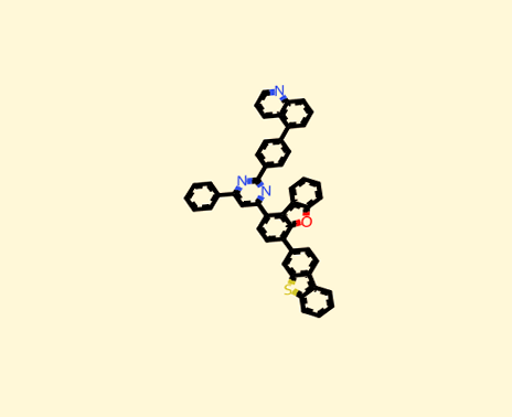 c1ccc(-c2cc(-c3ccc(-c4ccc5c(c4)sc4ccccc45)c4oc5ccccc5c34)nc(-c3ccc(-c4cccc5ncccc45)cc3)n2)cc1